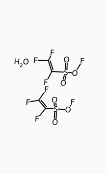 O.O=S(=O)(OF)C(F)=C(F)F.O=S(=O)(OF)C(F)=C(F)F